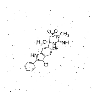 CN1C(=N)N[C@](C)(c2cc3[nH]c(-c4ccccc4)c(Cl)c3cc2F)CS1(=O)=O